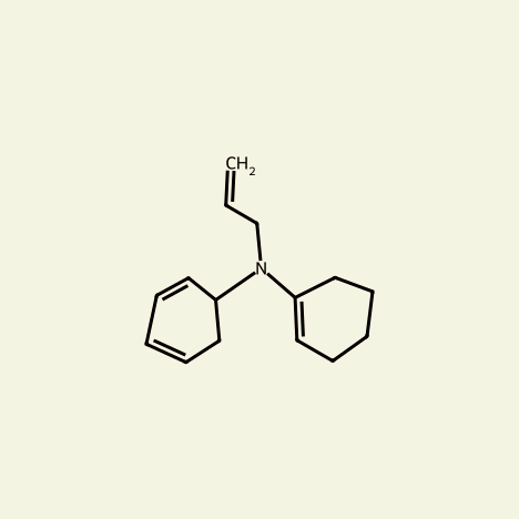 C=CCN(C1=CCCCC1)C1C=CC=CC1